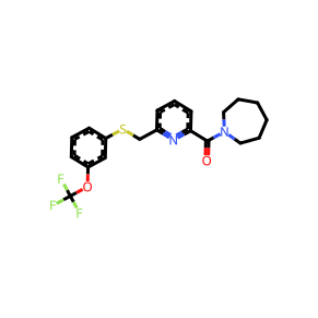 O=C(c1cccc(CSc2cccc(OC(F)(F)F)c2)n1)N1CCCCCC1